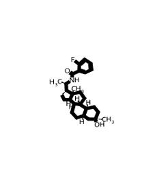 C[C@H](NC(=O)c1ccccc1F)[C@H]1CC[C@H]2[C@@H]3CC[C@@H]4C[C@](C)(O)CC[C@@H]4[C@H]3CC[C@]12C